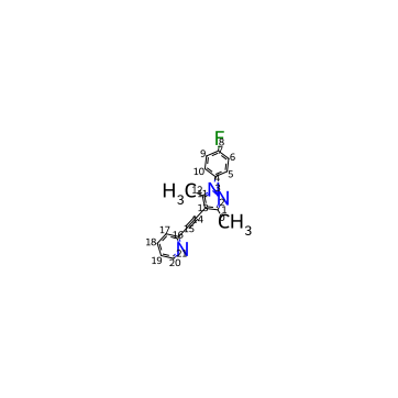 Cc1nn(-c2ccc(F)cc2)c(C)c1C#Cc1ccccn1